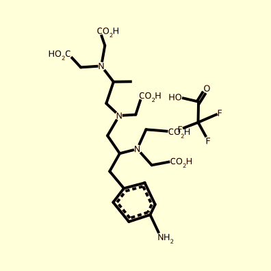 CC(CN(CC(=O)O)CC(Cc1ccc(N)cc1)N(CC(=O)O)CC(=O)O)N(CC(=O)O)CC(=O)O.O=C(O)C(F)(F)F